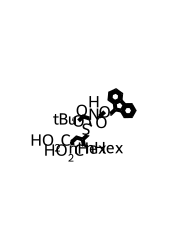 CCCCCCC(CC(CSC[C@H](NC(=O)OCC1c2ccccc2-c2ccccc21)C(=O)OC(C)(C)C)[C@@H](CCCCCC)C(=O)O)C(=O)O